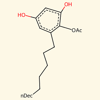 CCCCCCCCCCCCCCCc1cc(O)cc(O)c1OC(C)=O